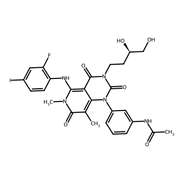 CC(=O)Nc1cccc(-n2c(=O)n(CC[C@@H](O)CO)c(=O)c3c(Nc4ccc(I)cc4F)n(C)c(=O)c(C)c32)c1